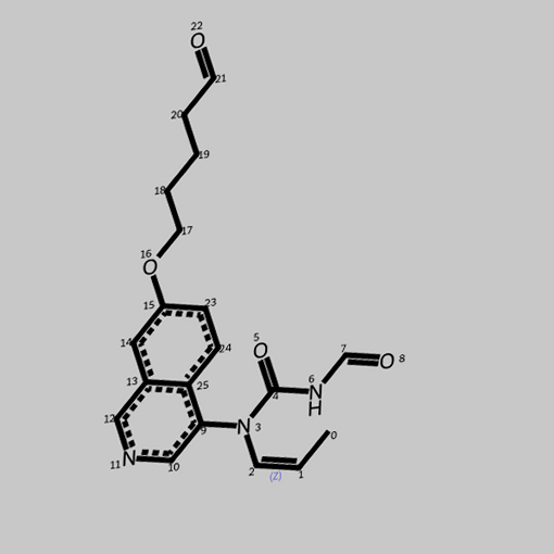 C/C=C\N(C(=O)NC=O)c1cncc2cc(OCCCCC=O)ccc12